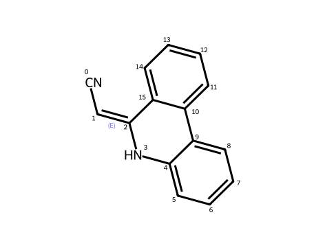 N#C/C=C1/Nc2ccccc2-c2ccccc21